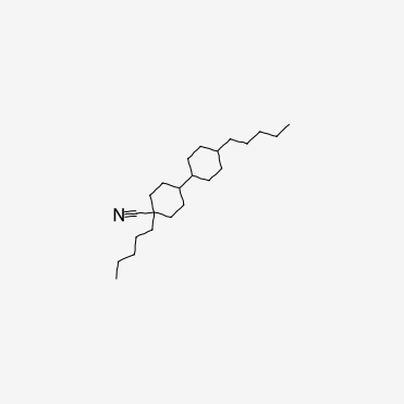 CCCCCC1CCC(C2CCC(C#N)(CCCCC)CC2)CC1